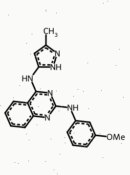 COc1cccc(Nc2nc(Nc3cc(C)n[nH]3)c3ccccc3n2)c1